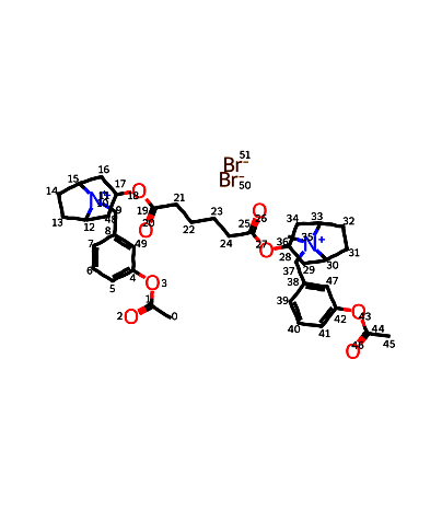 CC(=O)Oc1cccc(C[N+]2(C)C3CCC2CC(OC(=O)CCCCC(=O)OC2CC4CCC(C2)[N+]4(C)Cc2cccc(OC(C)=O)c2)C3)c1.[Br-].[Br-]